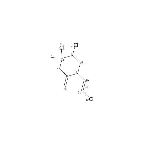 C=C1CC(C)(Cl)C(Cl)CC1/C=C/Cl